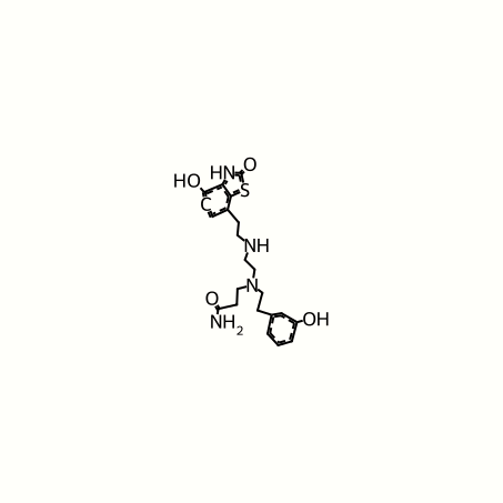 NC(=O)CCN(CCNCCc1ccc(O)c2[nH]c(=O)sc12)CCc1cccc(O)c1